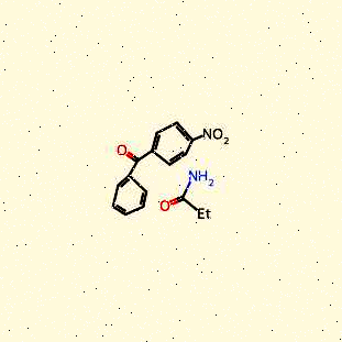 CCC(N)=O.O=C(c1ccccc1)c1ccc([N+](=O)[O-])cc1